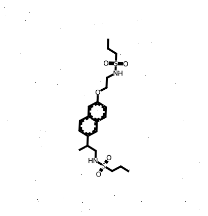 CCCS(=O)(=O)NCCOc1ccc2cc(C(C)CNS(=O)(=O)CCC)ccc2c1